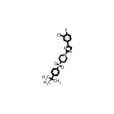 CC(C)(C)c1ccc(S(=O)(=O)C2CCN(c3nc(-c4ccc(F)c(Cl)c4)cs3)CC2)cc1